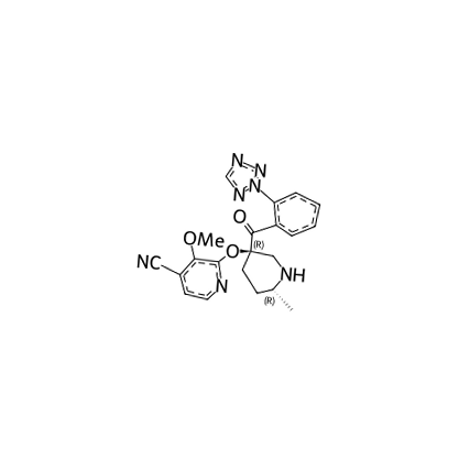 COc1c(C#N)ccnc1O[C@]1(C(=O)c2ccccc2-n2ncnn2)CC[C@@H](C)NC1